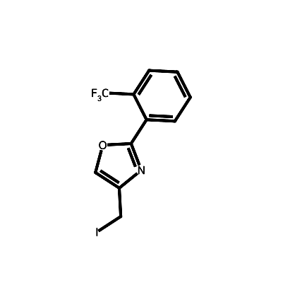 FC(F)(F)c1ccccc1-c1nc(CI)co1